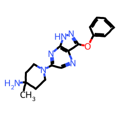 CC1(N)CCN(c2cnc3c(Oc4ccccc4)n[nH]c3n2)CC1